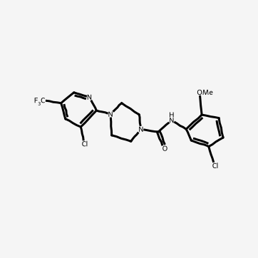 COc1ccc(Cl)cc1NC(=O)N1CCN(c2ncc(C(F)(F)F)cc2Cl)CC1